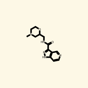 CN1CCOC(CNC(=O)c2n[nH]c3ccncc23)C1